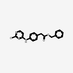 O=C(Cc1ccc(Nc2ccnc(Cl)n2)cc1)OCc1ccccc1